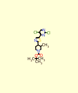 CC1CN(C(=O)OC(C)(C)C)CCC1c1ncc(-c2nc(Cl)ncc2Cl)s1